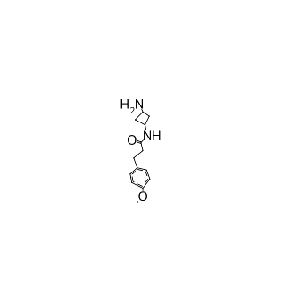 COc1ccc(CCC(=O)NC2CC(N)C2)cc1